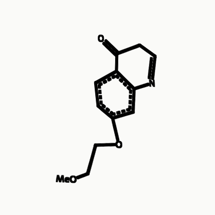 COCCOc1ccc2c(c1)N=CCC2=O